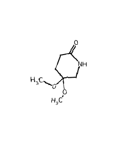 COC1(OC)CCC(=O)NC1